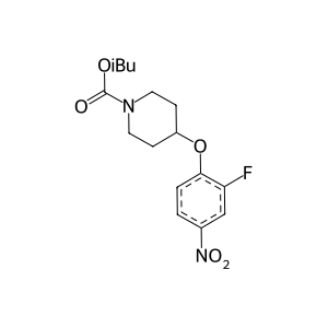 CC(C)COC(=O)N1CCC(Oc2ccc([N+](=O)[O-])cc2F)CC1